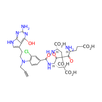 C#CCN(CCc1c[nH]c2nc(N)nc(O)c12)c1ccc(C(=O)N[C@@H](CCC(=O)O)C(=O)C(C[C@H](N)C(=O)O)(C(=O)O)C(=O)[C@@H](N)CCC(=O)O)cc1Cl